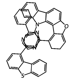 C1=c2oc3ccc4c5ccccc5n(-c5ccccc5)c4c3c2=C(c2nc(-c3ccccc3)nc(-c3cccc4sc5ccccc5c34)n2)CC1